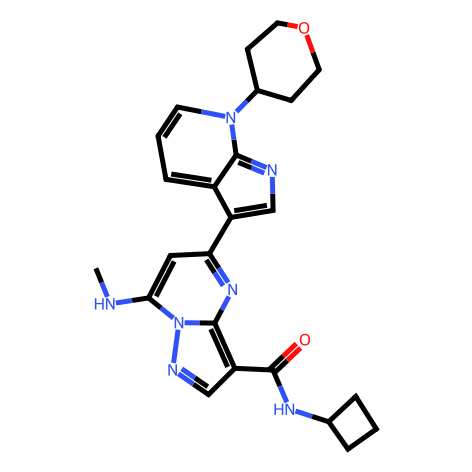 CNc1cc(-c2cnc3n(C4CCOCC4)cccc2-3)nc2c(C(=O)NC3CCC3)cnn12